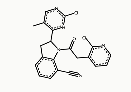 Cc1cnc(Cl)nc1C1Cc2cccc(C#N)c2N1C(=O)Cc1cccnc1Cl